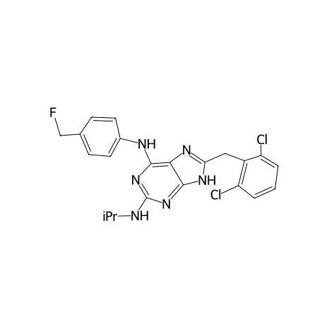 CC(C)Nc1nc(Nc2ccc(CF)cc2)c2nc(Cc3c(Cl)cccc3Cl)[nH]c2n1